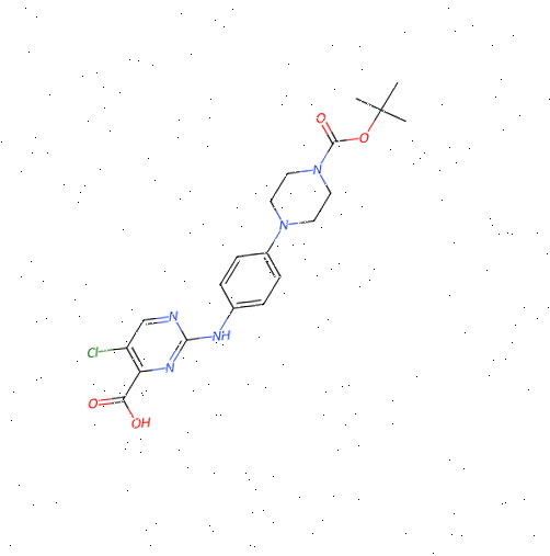 CC(C)(C)OC(=O)N1CCN(c2ccc(Nc3ncc(Cl)c(C(=O)O)n3)cc2)CC1